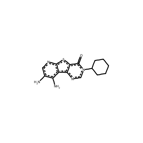 Nc1cnc2sc3c(=O)n(C4CCCCC4)cnc3c2c1N